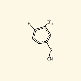 N#CSc1ccc(F)c(C(F)(F)F)c1